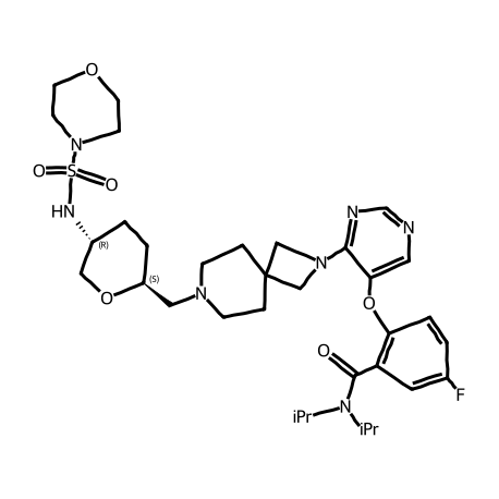 CC(C)N(C(=O)c1cc(F)ccc1Oc1cncnc1N1CC2(CCN(C[C@@H]3CC[C@@H](NS(=O)(=O)N4CCOCC4)CO3)CC2)C1)C(C)C